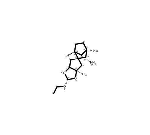 CCO[C@@H]1OC2C[C@@]3(C[C@H]2O1)[C@H]1CC[C@H](C1)[C@@H]3N